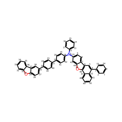 c1ccc(-c2cc3c4ccc(N(c5ccccc5)c5ccc(-c6ccc(-c7ccc8oc9ccccc9c8c7)cc6)cc5)cc4oc3c3ccccc23)cc1